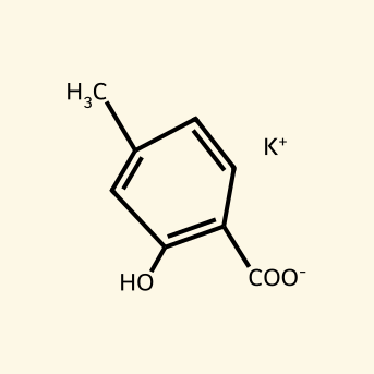 Cc1ccc(C(=O)[O-])c(O)c1.[K+]